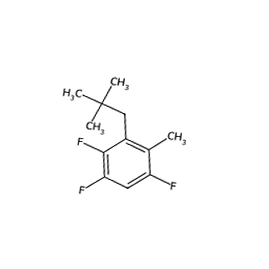 Cc1c(F)cc(F)c(F)c1CC(C)(C)C